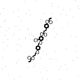 C=CC(=O)OCCCOc1ccc(COc2ccc(OC(=O)CCc3ccc(OC(=O)C=C)cc3)cc2Cl)cc1